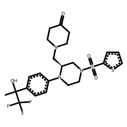 CC(O)(c1ccc(N2CCN(S(=O)(=O)c3cccs3)C[C@@H]2CN2CCC(=O)CC2)cc1)C(F)(F)F